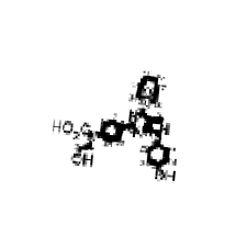 O=C(O)N(CCO)c1ccc(-c2nc(N3CC4CCC(C3)O4)c3cnn(C4CCC(O)CC4)c3n2)cc1